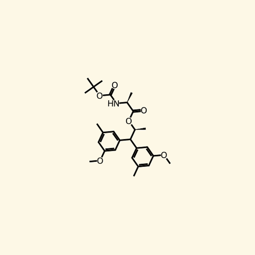 COc1cc(C)cc(C(c2cc(C)cc(OC)c2)[C@H](C)OC(=O)[C@H](C)NC(=O)OC(C)(C)C)c1